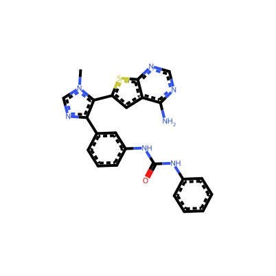 Cn1cnc(-c2cccc(NC(=O)Nc3ccccc3)c2)c1-c1cc2c(N)ncnc2s1